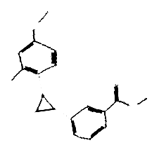 COC(=O)c1cccc([C@@H]2C[C@@H]2c2ccc(OC)cc2C)c1